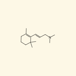 CC1=C(C=CCN(C)C)C(C)(C)CCC1